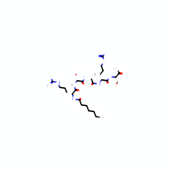 CCCCCCCCCCCCCCCC(=O)N[C@H](CCCNC(=N)N)C(=O)N[C@H](CO)C(=O)N[C@@H](C(=O)N[C@H](CCCNC(=N)N)C(=O)N[C@H](CO)C(=O)NC)[C@H](C)CC